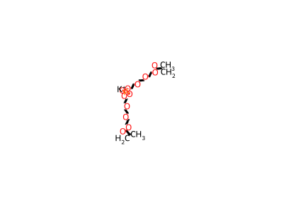 C=C(C)C(=O)OCCOCCOCCOP(=O)([O-])OCCOCCOCCOC(=O)C(=C)C.[K+]